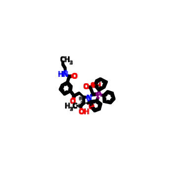 CCCNC(=O)c1cccc(C(=O)C[C@@H]2[C@@H]([C@@H](C)O)C(=O)N2C(C(=O)O)=P(c2ccccc2)(c2ccccc2)c2ccccc2)c1